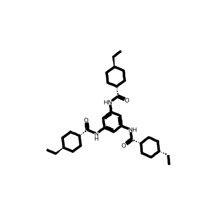 CC[C@H]1CC[C@H](C(=O)Nc2cc(NC(=O)[C@H]3CC[C@H](CC)CC3)cc(NC(=O)[C@H]3CC[C@@H](CC)CC3)c2)CC1